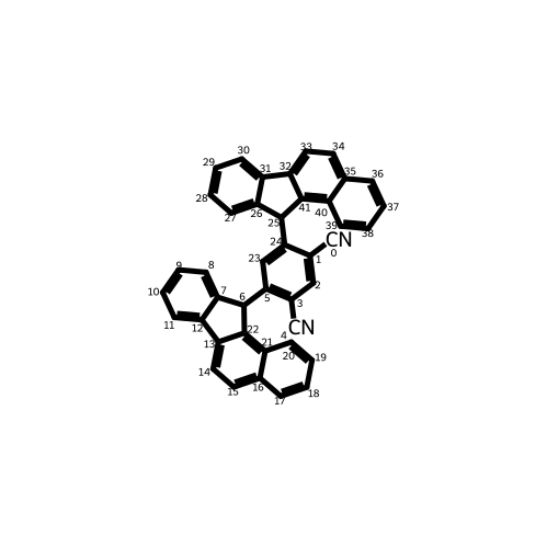 N#Cc1cc(C#N)c(C2c3ccccc3-c3ccc4ccccc4c32)cc1C1c2ccccc2-c2ccc3ccccc3c21